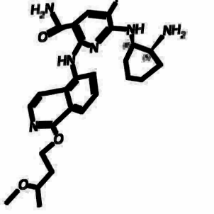 COC(C)CCOc1nccc2c(Nc3nc(N[C@@H]4CCCC[C@@H]4N)c(F)cc3C(N)=O)cccc12